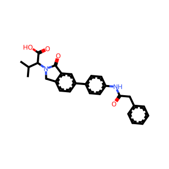 CC(C)C(C(=O)O)N1Cc2ccc(-c3ccc(NC(=O)Cc4ccccc4)cc3)cc2C1=O